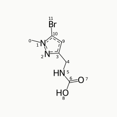 Cn1nc(CNC(=O)O)cc1Br